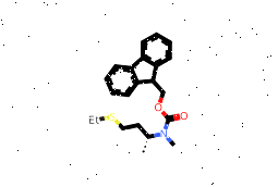 CCSCC[C@@H](C)N(C)C(=O)OCC1c2ccccc2-c2ccccc21